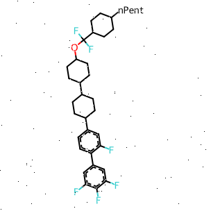 CCCCCC1CCC(C(F)(F)OC2CCC(C3CCC(c4ccc(-c5cc(F)c(F)c(F)c5)c(F)c4)CC3)CC2)CC1